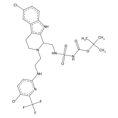 CC(C)(C)OC(=O)NS(=O)(=O)NCC1c2[nH]c3ccc(Cl)cc3c2CCN1CCNc1ccc(Cl)c(C(F)(F)F)n1